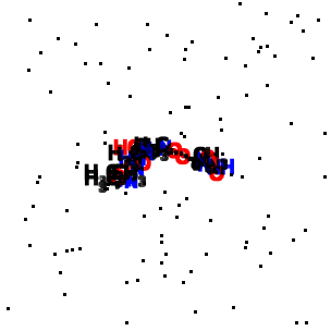 CN(CCOCCOCCCc1cccc2c1n(C)c(=O)n2C1CCC(=O)NC1=O)C[C@H]1CC[C@H](n2cc(NC(=O)c3coc(-c4ccnc(N(CC5CC5)C(=O)OC(C)(C)C)c4)n3)c(C(C)(C)O)n2)CC1